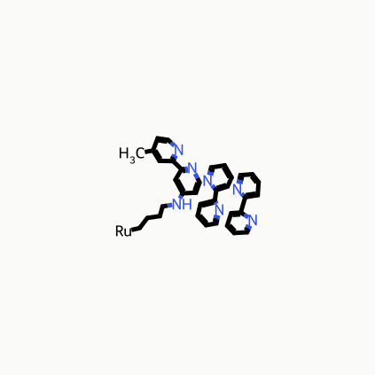 Cc1ccnc(-c2cc(NCCC[CH2][Ru])ccn2)c1.c1ccc(-c2ccccn2)nc1.c1ccc(-c2ccccn2)nc1